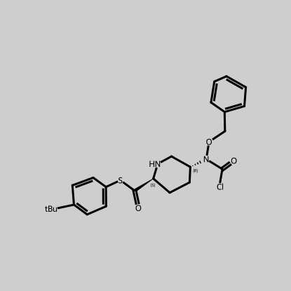 CC(C)(C)c1ccc(SC(=O)[C@@H]2CC[C@@H](N(OCc3ccccc3)C(=O)Cl)CN2)cc1